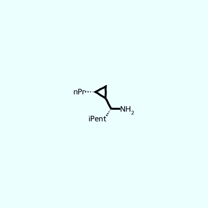 CCCC(C)[C@@H](N)C1C[C@H]1CCC